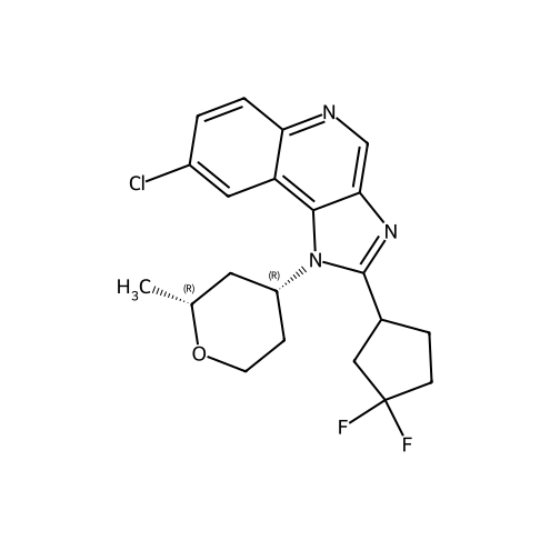 C[C@@H]1C[C@H](n2c(C3CCC(F)(F)C3)nc3cnc4ccc(Cl)cc4c32)CCO1